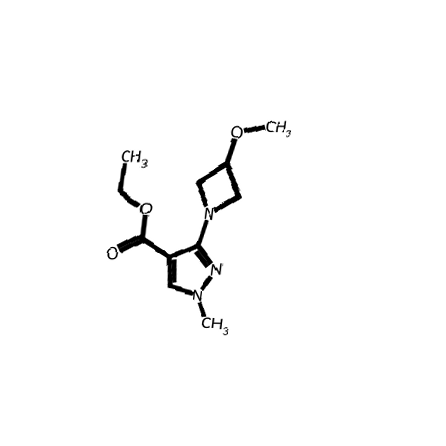 CCOC(=O)c1cn(C)nc1N1CC(OC)C1